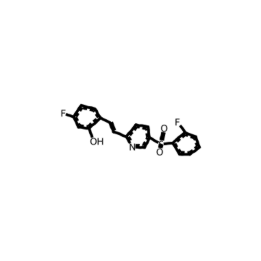 O=S(=O)(c1ccc(C=Cc2ccc(F)cc2O)nc1)c1ccccc1F